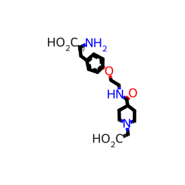 N[C@@H](Cc1ccc(OCCNC(=O)C2CCN(CC(=O)O)CC2)cc1)C(=O)O